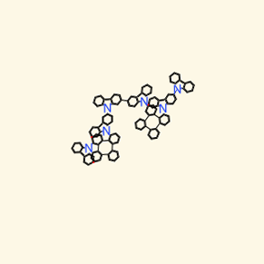 c1ccc2c(c1)-c1ccccc1-c1cccc(-n3c4ccccc4c4cc(-n5c6ccccc6c6ccccc65)ccc43)c1-c1ccc(-n3c4ccccc4c4cc(-c5ccc6c7ccccc7n(-c7ccc8c(c7)c7ccccc7n8-c7cccc8c7-c7cccc(-n9c%10ccccc%10c%10ccccc%109)c7-c7ccccc7-c7ccccc7-8)c6c5)ccc43)cc1-2